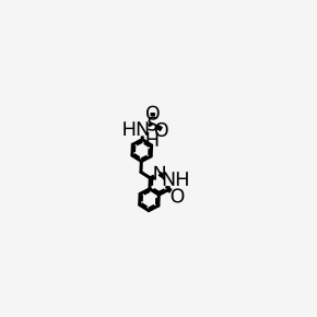 O=c1[nH]nc(Cc2ccc(N[SH](=O)=O)cc2)c2ccccc12